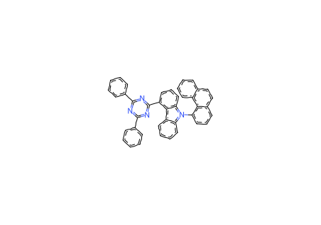 c1ccc(-c2nc(-c3ccccc3)nc(-c3cccc4c3c3ccccc3n4-c3cccc4ccc5ccccc5c34)n2)cc1